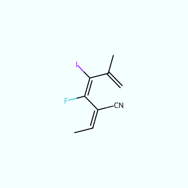 C=C(C)/C(I)=C(F)\C(C#N)=C/C